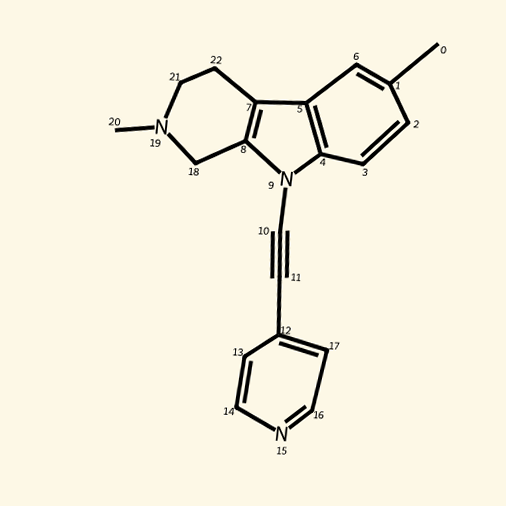 Cc1ccc2c(c1)c1c(n2C#Cc2ccncc2)CN(C)CC1